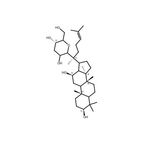 CC(C)=CCC[C@@](C)(C1CC[C@]2(C)C1[C@H](O)CC1[C@@]3(C)CC[C@H](O)C(C)(C)C3CC[C@]12C)C1OC(CO)[C@@H](O)CC1O